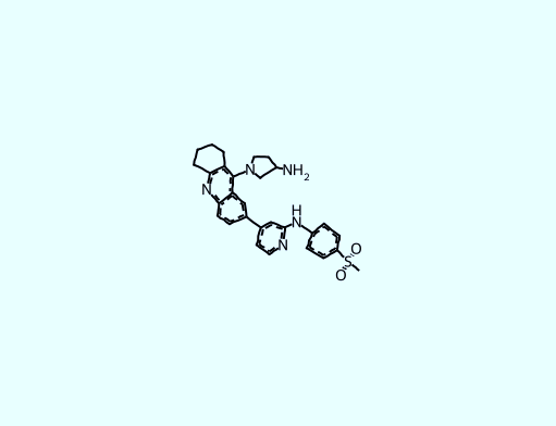 CS(=O)(=O)c1ccc(Nc2cc(-c3ccc4nc5c(c(N6CCC(N)C6)c4c3)CCCC5)ccn2)cc1